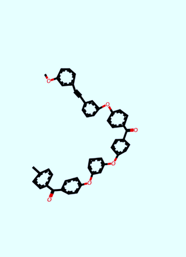 COc1cccc(C#Cc2cccc(Oc3ccc(C(=O)c4ccc(Oc5cccc(Oc6ccc(C(=O)c7ccc(C)cc7)cc6)c5)cc4)cc3)c2)c1